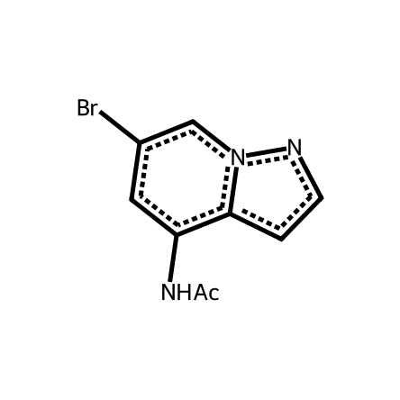 CC(=O)Nc1cc(Br)cn2nccc12